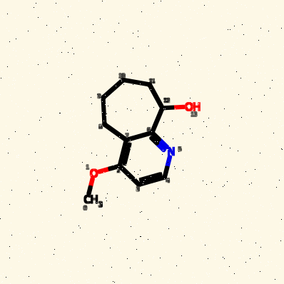 COc1ccnc2c1CCCCC2O